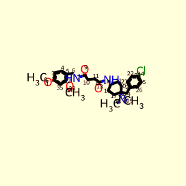 COc1ccc(CNC(=O)CCC(=O)NC2CCC(Cc3ccc(Cl)cc3)(N(C)C)CC2)c(OC)c1